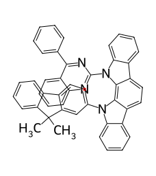 CC1(C)c2ccccc2-c2ccc(-n3c4ccccc4c4ccc5c6ccccc6n(-c6nc(-c7ccccc7)c7ccccc7n6)c5c43)cc21